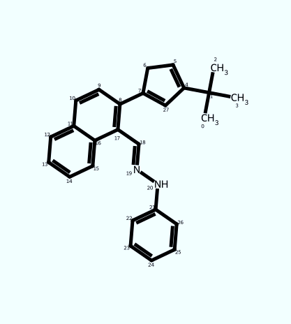 CC(C)(C)C1=CCC(c2ccc3ccccc3c2/C=N/Nc2ccccc2)=C1